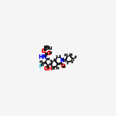 Cc1ccc(N2CCc3cc(C(O)/C(=C\F)CNC(=O)OC(C)(C)C)ccc3C2=O)cc1